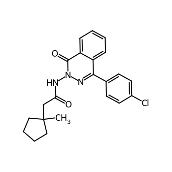 CC1(CC(=O)Nn2nc(-c3ccc(Cl)cc3)c3ccccc3c2=O)CCCC1